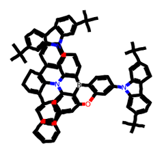 CC(C)(C)c1ccc2c3ccc(C(C)(C)C)cc3n(-c3ccc4c(c3)Oc3cc(-c5ccccc5)cc5c3B4c3ccc(-n4c6cc(C(C)(C)C)ccc6c6ccc(C(C)(C)C)cc64)cc3N5C3=C(c4ccccc4)CCC=C3c3ccccc3)c2c1